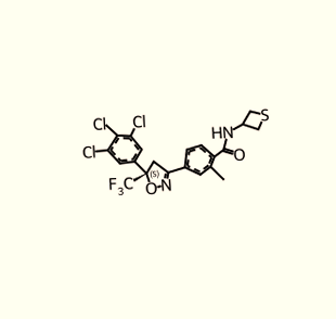 Cc1cc(C2=NO[C@@](c3cc(Cl)c(Cl)c(Cl)c3)(C(F)(F)F)C2)ccc1C(=O)NC1CSC1